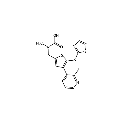 CN(Cc1cc(-c2cccnc2F)c(Sc2nccs2)s1)C(=O)O